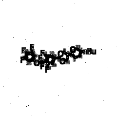 CCCCC1CCC(C2COC(c3cc(F)c(C(F)(F)Oc4cc(F)c(F)c(F)c4)c(F)c3)OC2)OC1